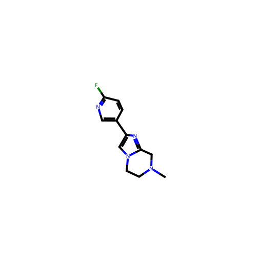 CN1CCn2cc(-c3ccc(F)nc3)nc2C1